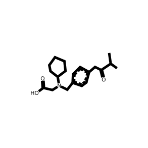 CC(C)C(=O)Cc1ccc(CN(CC(=O)O)C2CCCCC2)cc1